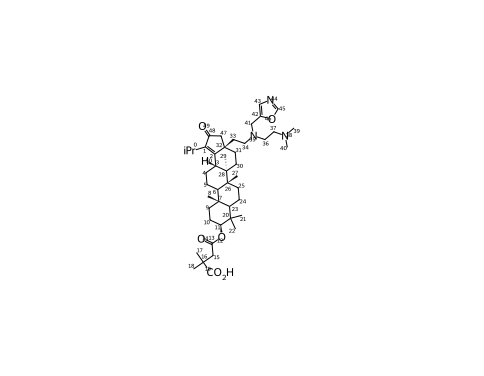 CC(C)C1=C2[C@H]3CCC4[C@@]5(C)CC[C@H](OC(=O)CC(C)(C)C(=O)O)C(C)(C)C5CC[C@@]4(C)[C@]3(C)CC[C@@]2(CCN(CCN(C)C)Cc2cnco2)CC1=O